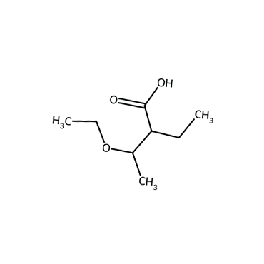 CCOC(C)C(CC)C(=O)O